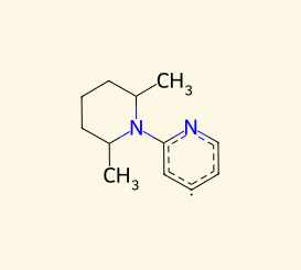 CC1CCCC(C)N1c1c[c]ccn1